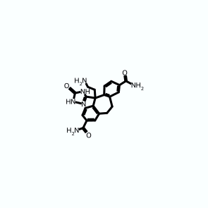 NCCC1(c2n[nH]c(=O)[nH]2)c2ccc(C(N)=O)cc2CCc2cc(C(N)=O)ccc21